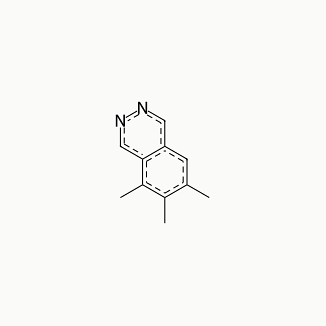 Cc1cc2cnncc2c(C)c1C